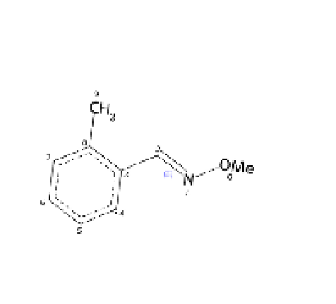 CO/N=C/c1[c]cccc1C